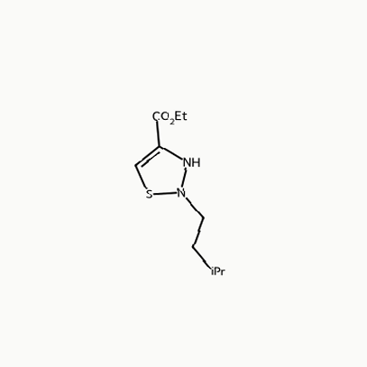 CCOC(=O)C1=CSN(CCC(C)C)N1